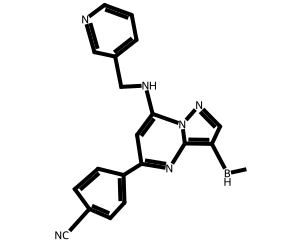 CBc1cnn2c(NCc3cccnc3)cc(-c3ccc(C#N)cc3)nc12